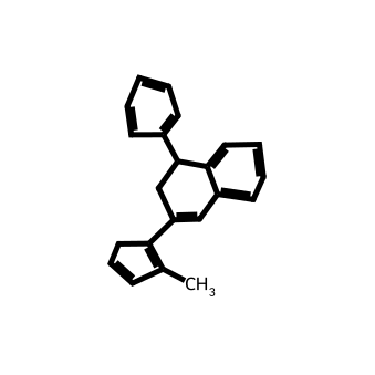 CC1=C(C2=Cc3ccccc3C(c3ccccc3)C2)CC=C1